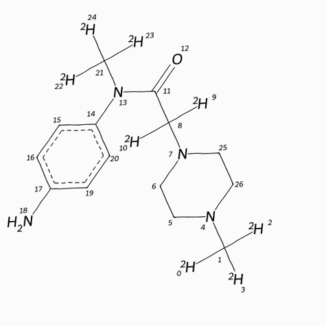 [2H]C([2H])([2H])N1CCN(C([2H])([2H])C(=O)N(c2ccc(N)cc2)C([2H])([2H])[2H])CC1